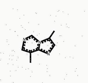 Cc1cncn2c(C)cnc12